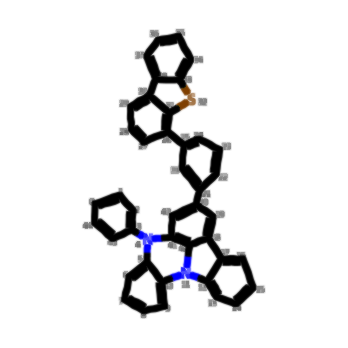 c1ccc(N2c3ccccc3-n3c4ccccc4c4cc(-c5cccc(-c6cccc7c6sc6ccccc67)c5)cc2c43)cc1